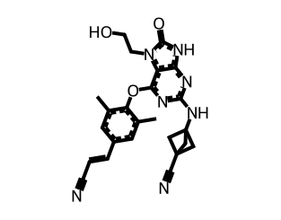 Cc1cc(/C=C/C#N)cc(C)c1Oc1nc(NC23CC(C#N)(C2)C3)nc2[nH]c(=O)n(CCO)c12